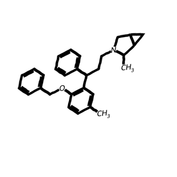 Cc1ccc(OCc2ccccc2)c(C(CCN2CC3CC3C2C)c2ccccc2)c1